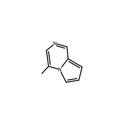 Cc1cncc2cccn12